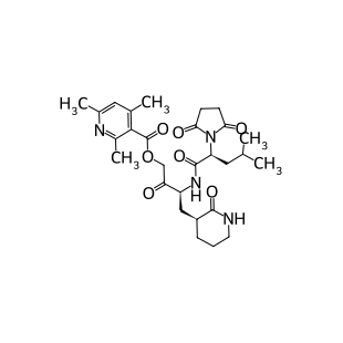 Cc1cc(C)c(C(=O)OCC(=O)[C@H](C[C@@H]2CCCNC2=O)NC(=O)[C@H](CC(C)C)N2C(=O)CCC2=O)c(C)n1